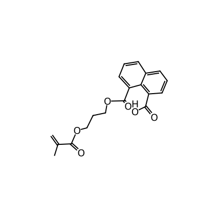 C=C(C)C(=O)OCCCOC(=O)c1cccc2cccc(C(=O)O)c12